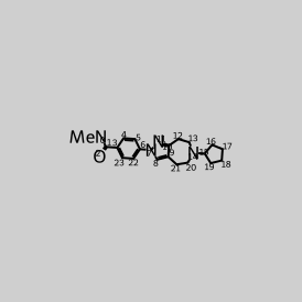 CNC(=O)c1ccc(-n2cc3c(n2)CCN(C2CCCC2)CC3)cc1